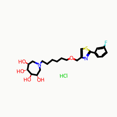 Cl.O[C@H]1[C@H](O)[C@@H](O)CN(CCCCCCOCc2csc(-c3cccc(F)c3)n2)C[C@@H]1O